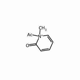 CC(=O)[N+]1(C)C=CC=CC1=O